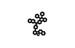 c1ccc(-c2c(-c3ccccc3)c3cc(N(c4ccc(-c5cccc6oc7c8ccccc8ccc7c56)cc4)c4ccc5ccccc5c4)ccc3c3ccccc23)cc1